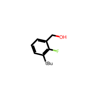 CC(C)(C)c1cccc(CO)c1F